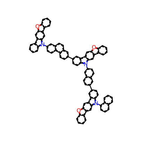 c1ccc2c(-n3c4ccc(-c5ccc6cc(-n7c8ccc(-c9ccc%10c(ccc%11cc(-n%12c%13ccccc%13c%13cc%14oc%15ccccc%15c%14cc%13%12)ccc%11%10)c9)cc8c8cc9oc%10ccccc%10c9cc87)ccc6c5)cc4c4cc5oc6ccccc6c5cc43)cccc2c1